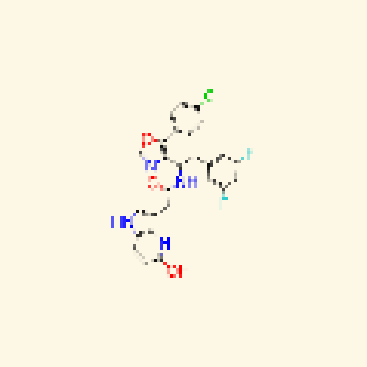 O=C(Cc1c[nH]c2ccc(O)nc12)NC(Cc1cc(F)cc(F)c1)c1ncoc1-c1ccc(Cl)cc1